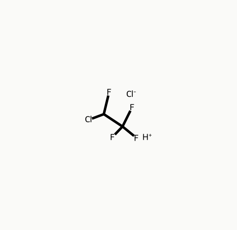 FC(Cl)C(F)(F)F.[Cl-].[H+]